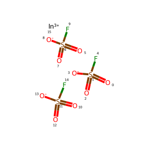 O=S(=O)([O-])F.O=S(=O)([O-])F.O=S(=O)([O-])F.[In+3]